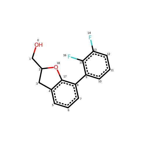 OCC1Cc2cccc(-c3cccc(F)c3F)c2O1